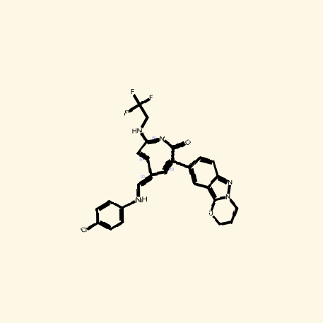 O=C1\N=C(NCC(F)(F)F)/C=C/C(=C/Nc2ccc(Cl)cc2)/C=C\1c1ccc2nn3c(c2c1)OCCC3